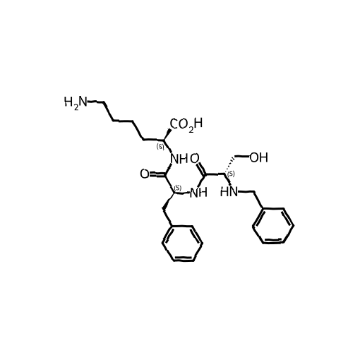 NCCCC[C@H](NC(=O)[C@H](Cc1ccccc1)NC(=O)[C@H](CO)NCc1ccccc1)C(=O)O